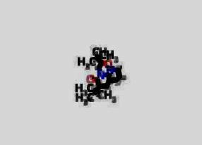 CC(C)(C)C(=O)Cn1c(=O)c(C(C)(C)C)cc2cccnc21